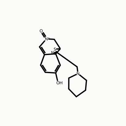 O=[N+]1C=C2C=CC(O)=CC23N=C(CN2CCCCC2)SC3C1